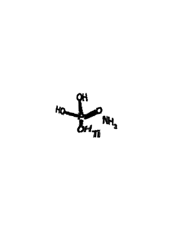 N.O=P(O)(O)O.[Ti]